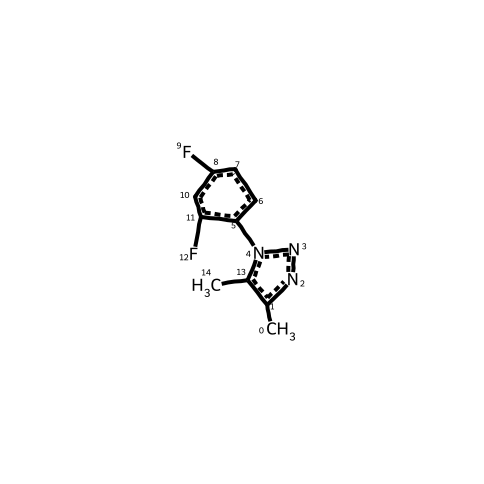 Cc1nnn(-c2ccc(F)cc2F)c1C